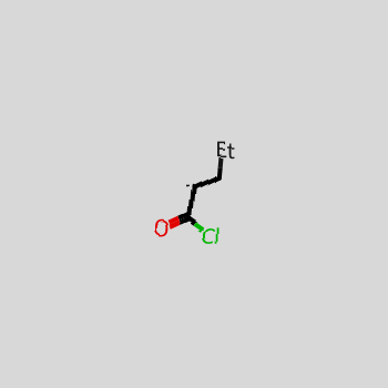 CCC[CH]C(=O)Cl